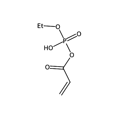 C=CC(=O)OP(=O)(O)OCC